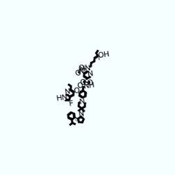 CCc1nc2[nH]cc(F)c2cc1Oc1cc(N2CCC3(CC2)CN([C@H]2CCC[C@H]2c2ccccc2C(C)C)C3)ccc1C(=O)NS(=O)(=O)c1cnc(NCCCC[C@](C)(O)CC)c([N+](=O)[O-])c1